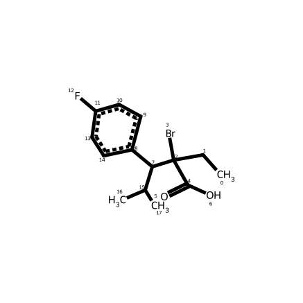 CCC(Br)(C(=O)O)C(c1ccc(F)cc1)C(C)C